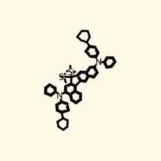 C[Si](C)(C)C1([Si](C)(C)C)c2cc3cc(N(c4ccccc4)c4ccc(C5CCCCC5)cc4)ccc3cc2-c2c1cc(N(c1ccccc1)c1ccc(C3CCCCC3)cc1)c1ccccc21